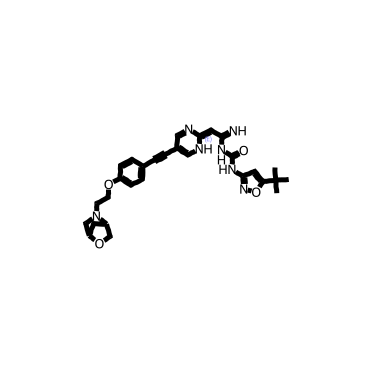 CC(C)(C)c1cc(NC(=O)NC(=N)/C=C2/N=CC(C#Cc3ccc(OCCN4CC5CC4CO5)cc3)=CN2)no1